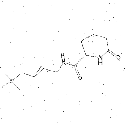 C[Si](C)(C)CC=CCNC(=O)[C@@H]1CCCC(=O)N1